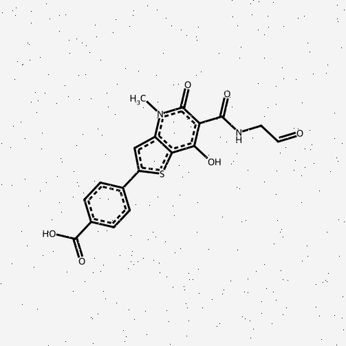 Cn1c(=O)c(C(=O)NCC=O)c(O)c2sc(-c3ccc(C(=O)O)cc3)cc21